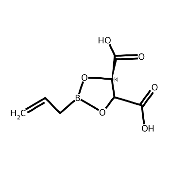 C=CCB1OC(C(=O)O)[C@H](C(=O)O)O1